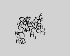 CC(C)(C)[C@H](NC(=O)C(F)(F)F)C(=O)N1C[C@H]2[C@@H]([C@H]1C(=O)N[C@H](C#N)C[C@@H]1CCNC1=O)[C@H]1C=C[C@@H]2C1O